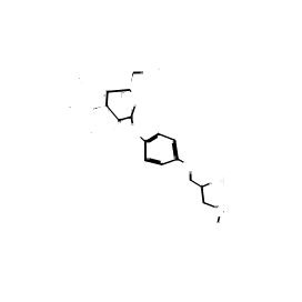 CC(=O)OC[C@H]1O[C@@](O)(Oc2ccc(OCC(O)CNC(C)C)cc2)[C@H](OC(C)=O)[C@@H](OC(C)=O)[C@@H]1OC(C)=O